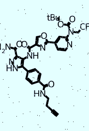 C#CCCNC(=O)c1ccc(-c2[nH]nc(C(N)=O)c2NC(=O)c2coc(-c3ccnc(N(CC(F)(F)F)C(=O)OC(C)(C)C)c3)n2)cc1